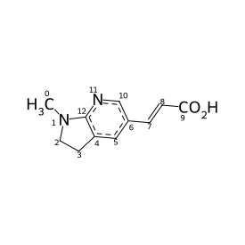 CN1CCc2cc(/C=C/C(=O)O)cnc21